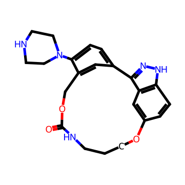 O=C1NCCCOc2ccc3[nH]nc(c3c2)-c2ccc(N3CCNCC3)c(c2)CO1